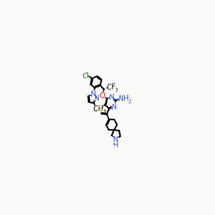 Cc1ccn(-c2cc(Cl)ccc2[C@@H](Oc2nc(N)nc3c(C4=CCC5(CCNC5)CC4)csc23)C(F)(F)F)n1